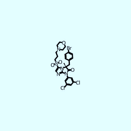 C[C@@]1(Cc2ccc(Br)cc2)C(=O)N(c2cc(Cl)cc(Cl)c2)c2ncc(S(=O)(=O)CCCN3CCOCC3)n21